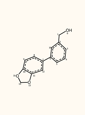 OCc1cccc(-c2ccc3c(c2)OCO3)c1